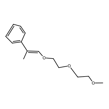 COCCOCCOC=C(C)c1ccccc1